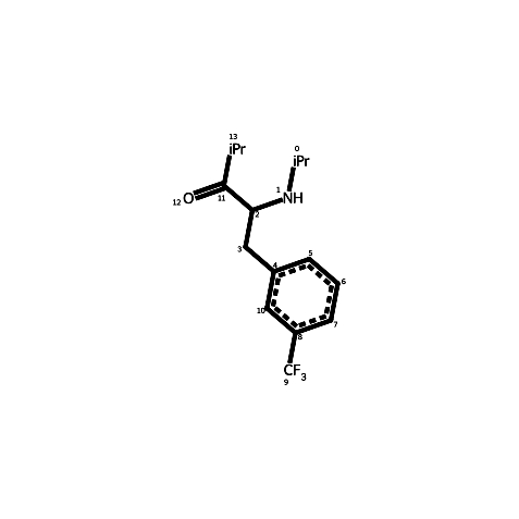 CC(C)NC(Cc1cccc(C(F)(F)F)c1)C(=O)C(C)C